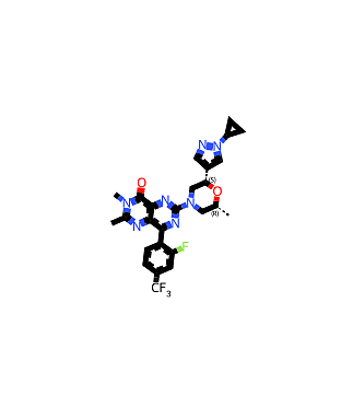 Cc1nc2c(-c3ccc(C(F)(F)F)cc3F)nc(N3C[C@@H](C)O[C@@H](c4cnn(C5CC5)c4)C3)nc2c(=O)n1C